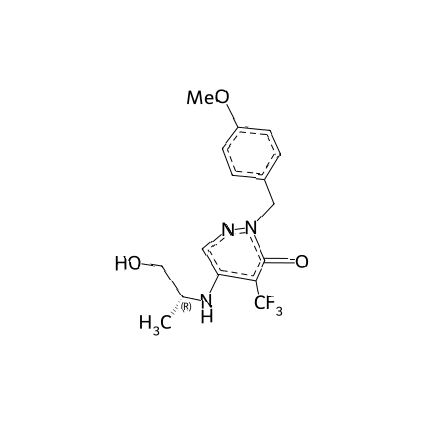 COc1ccc(Cn2ncc(N[C@H](C)CO)c(C(F)(F)F)c2=O)cc1